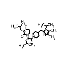 Cc1nc(CC2CCN(C(=O)[C@H](CC(C)C)N3CCN[C@@H](CC(C)C)C3=O)CC2)n(C(C)C)c1C